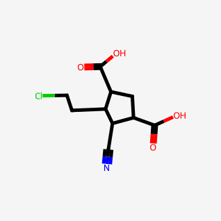 N#CC1C(C(=O)O)CC(C(=O)O)C1CCCl